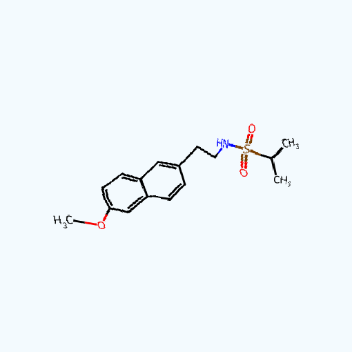 COc1ccc2cc(CCNS(=O)(=O)C(C)C)ccc2c1